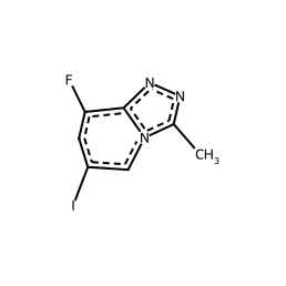 Cc1nnc2c(F)cc(I)cn12